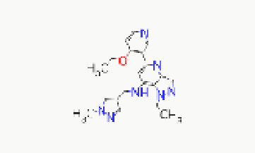 CCOc1ccncc1-c1cc(NCc2cnn(C)c2)c2c(cnn2CC)n1